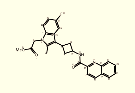 COC(=O)Cn1c(C)c(C2CC(NC(=O)c3ccc4ccccc4n3)C2)c2cc(F)ccc21